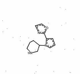 c1cc(-c2ncco2)n(C2CCCNC2)c1